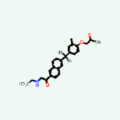 CCC(CC)(c1ccc(OCC(=O)C(C)(C)C)c(C)c1)c1ccc2cc(C(=O)CNCC(=O)O)ccc2c1